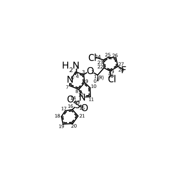 C[C@@H](Oc1c(N)ncc2c1ccn2S(=O)(=O)c1ccccc1)c1c(Cl)ccc(F)c1Cl